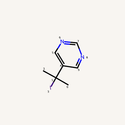 CC(C)(I)c1cncnc1